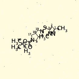 Cc1cc(SN2CC3CN(C(=O)OC(C)(C)C)CC3C2)n(C)n1